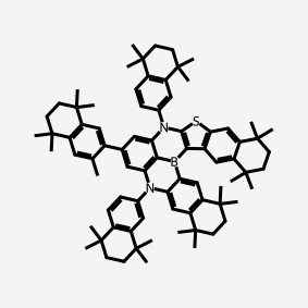 Cc1cc2c(cc1-c1cc3c4c(c1)N(c1ccc5c(c1)C(C)(C)CCC5(C)C)c1sc5cc6c(cc5c1B4c1cc4c(cc1N3c1ccc3c(c1)C(C)(C)CCC3(C)C)C(C)(C)CCC4(C)C)C(C)(C)CCC6(C)C)C(C)(C)CCC2(C)C